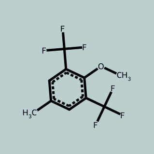 COc1c(C(F)(F)F)cc(C)cc1C(F)(F)F